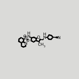 Cc1c(CNc2ccc(C#N)cc2)oc2cc(NS(=O)(=O)c3cccc4cccnc34)ccc12